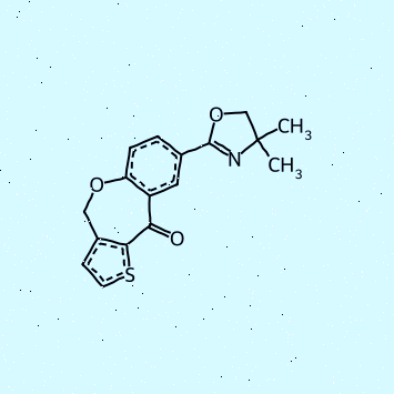 CC1(C)COC(c2ccc3c(c2)C(=O)c2sccc2CO3)=N1